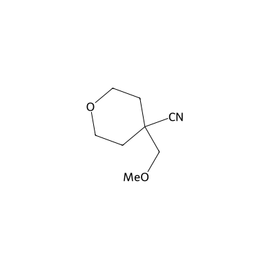 COCC1(C#N)CCOCC1